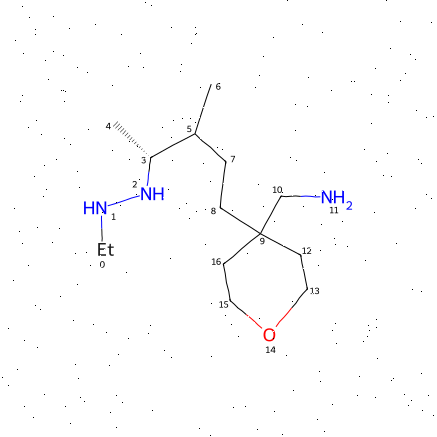 CCNN[C@H](C)C(C)CCC1(CN)CCOCC1